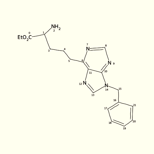 CCOC(=O)C(N)CCCc1ncnc2c1ncn2Cc1ccccc1